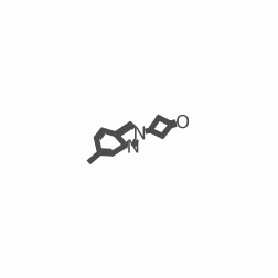 Cc1ccc2cn(C3CC(=O)C3)nc2c1